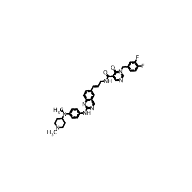 CN1CCC(N(C)c2ccc(Nc3ncc4cc(C=CCNC(=O)c5cncn(Cc6ccc(F)c(F)c6)c5=O)ccc4n3)cc2)CC1